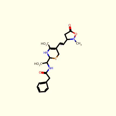 CN1OC(=O)CC1/C=C/C1=C(C(=O)O)NC(C(NC(=O)Cc2ccccc2)C(=O)O)SC1